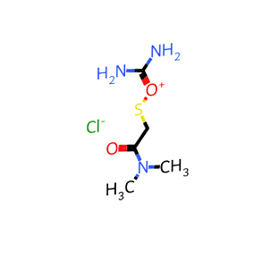 CN(C)C(=O)CS[O+]=C(N)N.[Cl-]